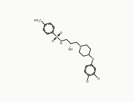 O=C(O)c1ccc(S(=O)(=O)NC[C@@H](O)CN2CCC(Oc3ccc(Cl)c(Cl)c3)CC2)cc1